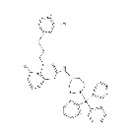 O=C(Cc1cccc(Cl)c1CCCCc1ccc(Cl)c(Cl)c1)NC1CCN(C(c2ccccc2)(c2ccccc2)c2ccccc2)CC1